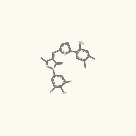 CC1=NN(c2cc(F)c(O)c(F)c2)C(=O)C1=Cc1ccc(-c2cc(C)c(C)cc2[N+](=O)[O-])o1